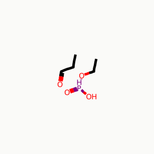 CCC=O.CCO[PH](=O)O